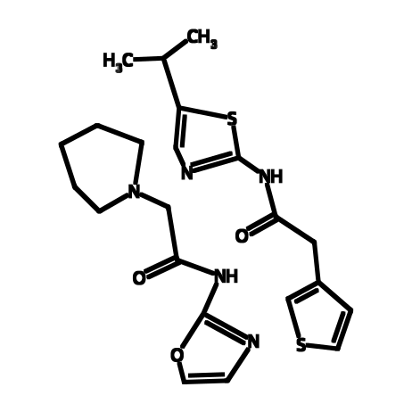 CC(C)c1cnc(NC(=O)Cc2ccsc2)s1.O=C(CN1CCCCC1)Nc1ncco1